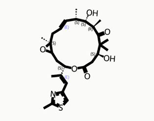 C/C(=C\c1csc(C)n1)[C@@H]1CC2O[C@@]2(C)C/C=C/[C@H](C)[C@H](O)[C@@H](C)C(=O)C(C)(C)[C@@H](O)CC(=O)O1